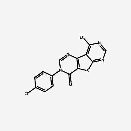 CCc1ncnc2sc3c(=O)n(-c4ccc(Cl)cc4)cnc3c12